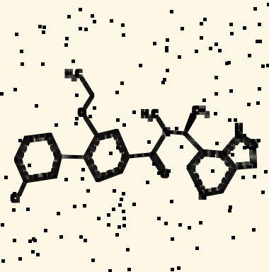 CCOc1cc(C(=O)N(C)[C@@H](C)c2cncc3cn[nH]c23)ccc1-c1cccc(Cl)c1